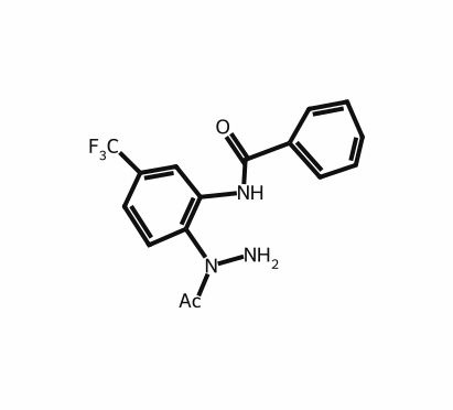 CC(=O)N(N)c1ccc(C(F)(F)F)cc1NC(=O)c1ccccc1